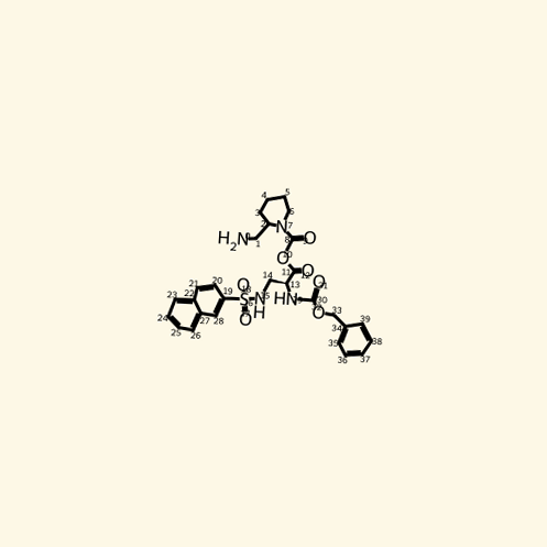 NCC1CCCCN1C(=O)OC(=O)[C@H](CNS(=O)(=O)c1ccc2ccccc2c1)NC(=O)OCc1ccccc1